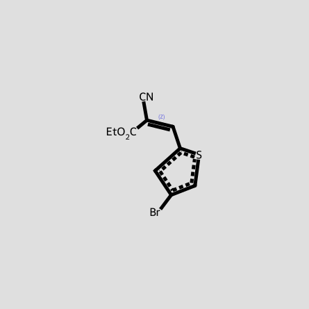 CCOC(=O)/C(C#N)=C\c1cc(Br)cs1